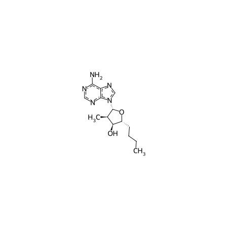 CCCC[C@H]1O[C@@H](n2cnc3c(N)ncnc32)[C@H](C)[C@@H]1O